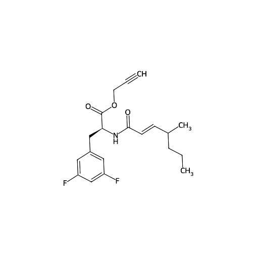 C#CCOC(=O)[C@H](Cc1cc(F)cc(F)c1)NC(=O)/C=C/C(C)CCC